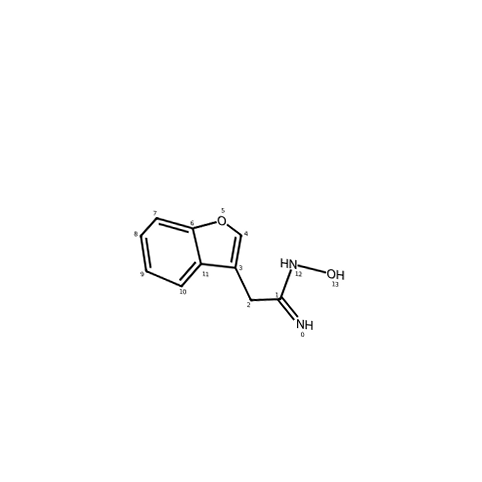 N=C(Cc1coc2ccccc12)NO